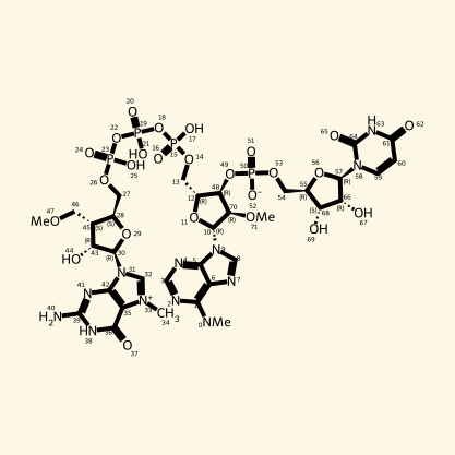 CNc1ncnc2c1ncn2[C@@H]1O[C@H](COP(=O)(O)OP(=O)(O)OP(=O)(O)OC[C@H]2O[C@@H](n3c[n+](C)c4c(=O)[nH]c(N)nc43)[C@H](O)[C@@H]2COC)[C@@H](OP(=O)([O-])OC[C@H]2O[C@@H](n3ccc(=O)[nH]c3=O)[C@H](O)[C@@H]2O)[C@H]1OC